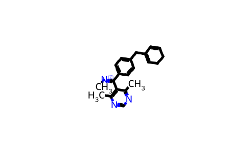 C/N=C(/c1ccc(CC2=CCCC=C2)cc1)c1c(C)ncnc1C